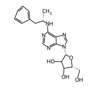 C[C@@H](Cc1ccccc1)Nc1ncnc2c1ncn2[C@@H]1O[C@H](CO)C(O)C1O